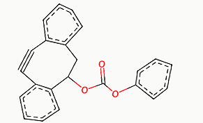 O=C(Oc1ccccc1)OC1Cc2ccccc2C#Cc2ccccc21